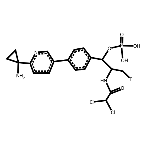 NC1(c2ccc(-c3ccc(C(OP(=O)(O)O)C(CF)NC(=O)C(Cl)Cl)cc3)cn2)CC1